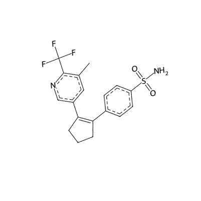 Cc1cc(C2=C(c3ccc(S(N)(=O)=O)cc3)CCC2)cnc1C(F)(F)F